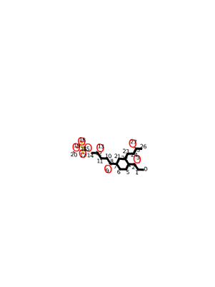 CCC(=O)C1CCC(C(=O)CCC(=O)COS(=O)(=O)OC)CC1CCC(C)=O